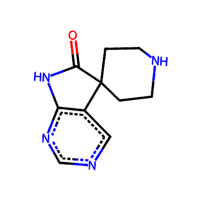 O=C1Nc2ncncc2C12CCNCC2